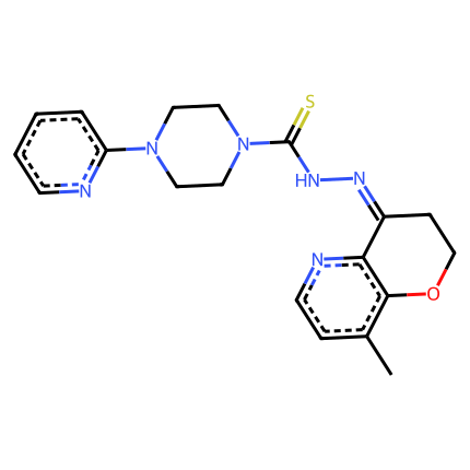 Cc1ccnc2c1OCC/C2=N/NC(=S)N1CCN(c2ccccn2)CC1